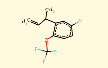 C=C[C](C)c1cc(F)ccc1OC(F)(F)F